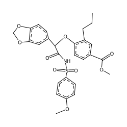 CCCc1cc(C(=O)OC)ccc1OC(C(=O)NS(=O)(=O)c1ccc(OC)cc1)c1ccc2c(c1)OCO2